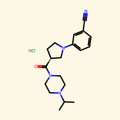 CC(C)N1CCN(C(=O)[C@H]2CCN(c3cccc(C#N)c3)C2)CC1.Cl